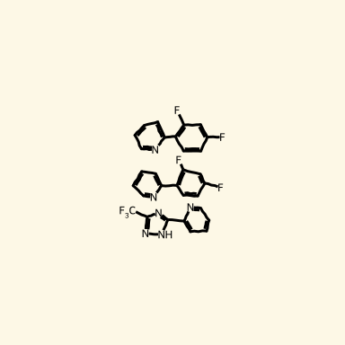 FC(F)(F)c1n[nH]c(-c2ccccn2)n1.Fc1ccc(-c2ccccn2)c(F)c1.Fc1ccc(-c2ccccn2)c(F)c1